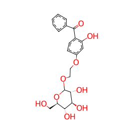 O=C(c1ccccc1)c1ccc(OCCOC2O[C@H](CO)[C@@H](O)[C@H](O)[C@H]2O)cc1O